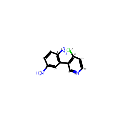 Nc1ccc(N)c(-c2cnccc2Cl)c1